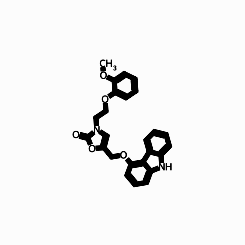 COc1ccccc1OCCn1cc(COc2cccc3[nH]c4ccccc4c23)oc1=O